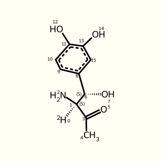 [2H][C@@](N)(C(C)=O)[C@@H](O)c1ccc(O)c(O)c1